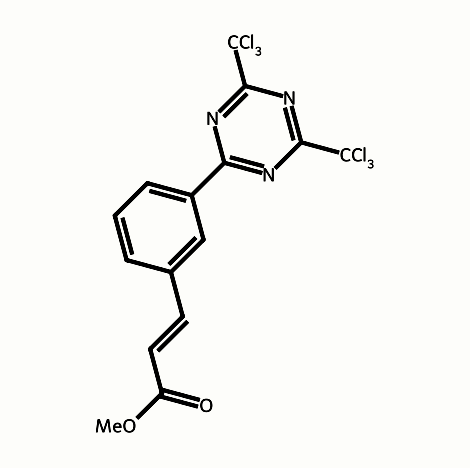 COC(=O)C=Cc1cccc(-c2nc(C(Cl)(Cl)Cl)nc(C(Cl)(Cl)Cl)n2)c1